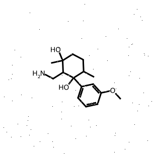 COc1cccc(C2(O)C(C)CCC(C)(O)C2CN)c1